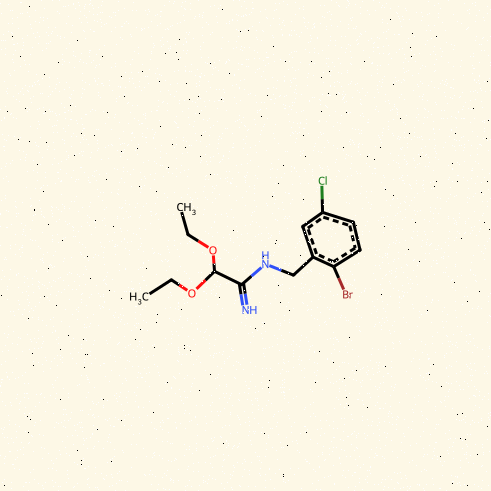 CCOC(OCC)C(=N)NCc1cc(Cl)ccc1Br